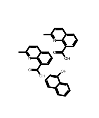 Cc1ccc2cccc(C(=O)O)c2n1.Cc1ccc2cccc(C(=O)O)c2n1.Oc1cccc2ccccc12